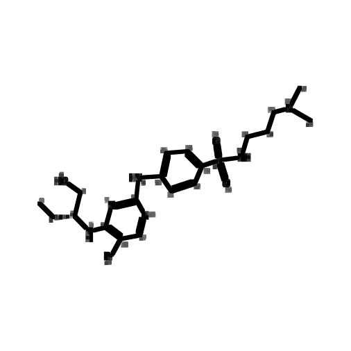 CC[C@H](CO)Nc1nc(Nc2ccc(S(=O)(=O)NCCCN(C)C)cc2)ncc1Br